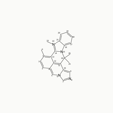 Cc1ccc2cn3cncc3c3c2c1-c1n(c2ccccc2[n+]1C)C3(C)C